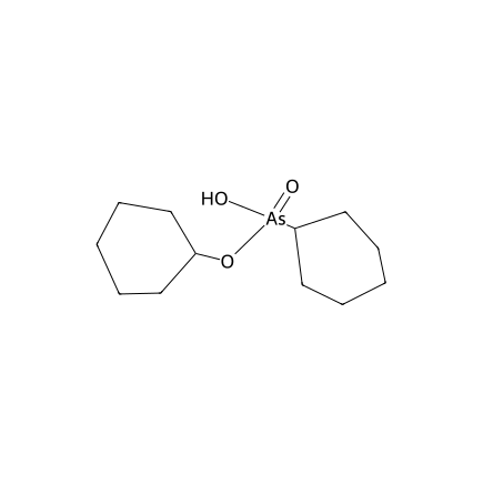 O=[As](O)(OC1CCCCC1)C1CCCCC1